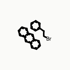 BrCCc1ccccc1.c1ccc2cc3ccccc3cc2c1